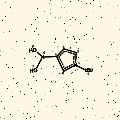 CC(C)(C)n1ccc(N(O)O)c1